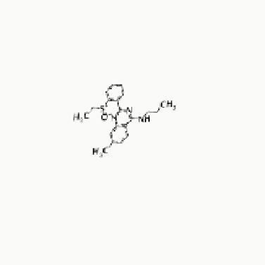 CCCNc1nc(-c2ccccc2[S+]([O-])CC)nc2cc(C)ccc12